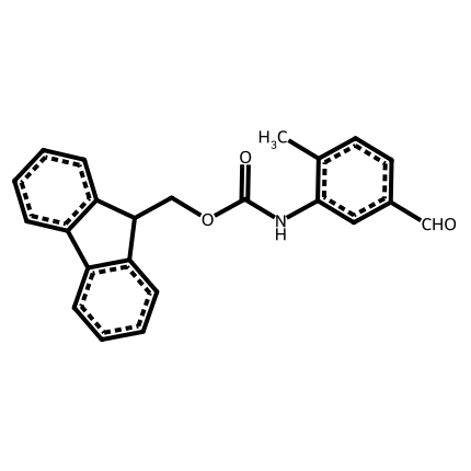 Cc1ccc(C=O)cc1NC(=O)OCC1c2ccccc2-c2ccccc21